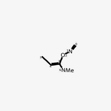 C=NO/C(=C\C)NC